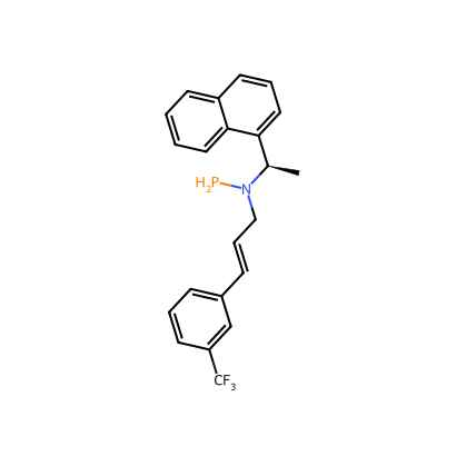 C[C@H](c1cccc2ccccc12)N(P)C/C=C/c1cccc(C(F)(F)F)c1